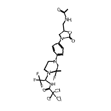 CC(=O)NCC1CN(c2ccc(N3CCN(C(NC(=O)C(Cl)(Cl)Cl)C(F)(F)F)C(C)(F)C3)cc2)C(=O)O1